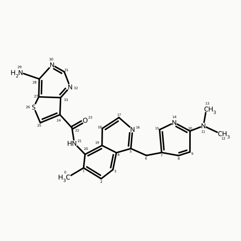 Cc1ccc2c(Cc3ccc(N(C)C)nc3)nccc2c1NC(=O)c1csc2c(N)ncnc12